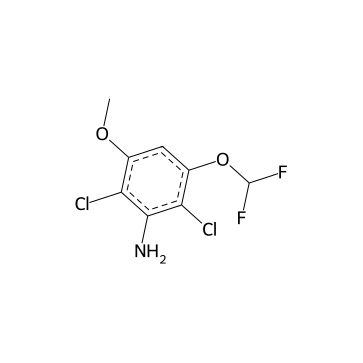 COc1cc(OC(F)F)c(Cl)c(N)c1Cl